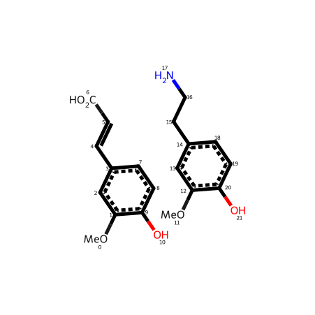 COc1cc(C=CC(=O)O)ccc1O.COc1cc(CCN)ccc1O